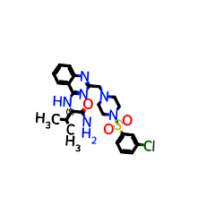 CC(C)[C@H](Nc1nc(CN2CCN(S(=O)(=O)c3cccc(Cl)c3)CC2)nc2ccccc12)C(N)=O